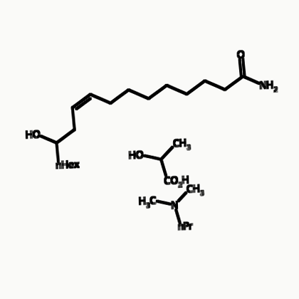 CC(O)C(=O)O.CCCCCCC(O)C/C=C\CCCCCCCC(N)=O.CCCN(C)C